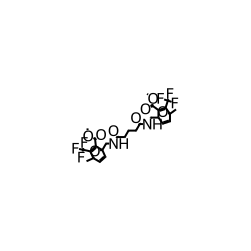 COC(=O)C1=C(C(F)(F)F)C2(C)C=CC1(CNC(=O)CCCC(=O)NCC13C=CC(C)(O1)C(C(F)(F)F)=C3C(=O)OC)O2